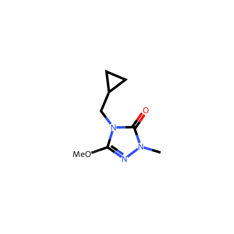 COc1nn(C)c(=O)n1CC1CC1